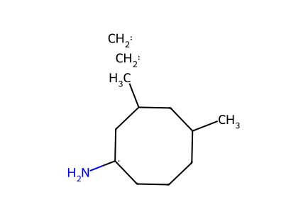 CC1CCC[C](N)CC(C)C1.[CH2].[CH2]